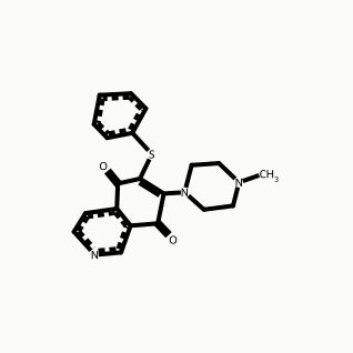 CN1CCN(C2=C(Sc3ccccc3)C(=O)c3ccncc3C2=O)CC1